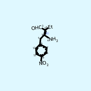 CC/C(C=O)=C(\N)Cc1ccc([N+](=O)[O-])cc1